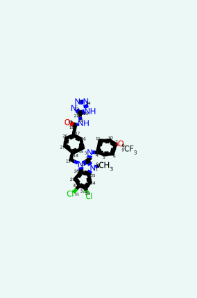 Cn1c(=Nc2ccc(OC(F)(F)F)cc2)n(Cc2ccc(C(=O)Nc3nnn[nH]3)cc2)c2cc(Cl)c(Cl)cc21